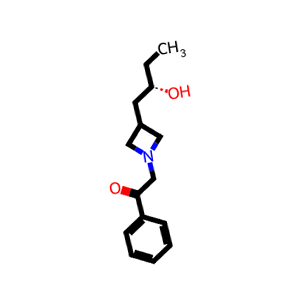 CC[C@H](O)CC1CN(CC(=O)c2ccccc2)C1